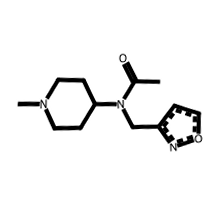 CC(=O)N(Cc1ccon1)C1CCN(C)CC1